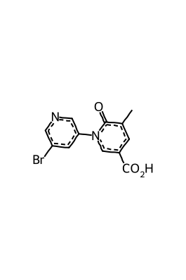 Cc1cc(C(=O)O)cn(-c2cncc(Br)c2)c1=O